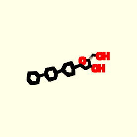 OC[C@H]1O[C@H](c2ccc(-c3ccc(-c4ccccc4)cc3)cc2)CC1O